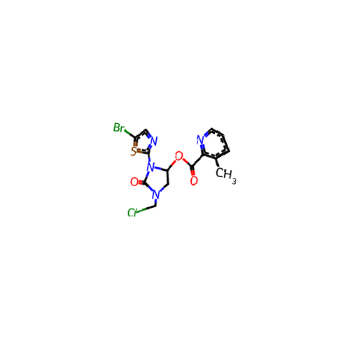 Cc1cccnc1C(=O)OC1CN(CCl)C(=O)N1c1ncc(Br)s1